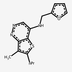 CCCc1sc2c(NCc3ccco3)cnnc2c1C